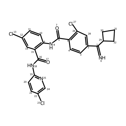 N=C(c1ccc(C(=O)Nc2ccc(Cl)cc2C(=O)Nc2ccc(Cl)cn2)c(Cl)c1)C1CCC1